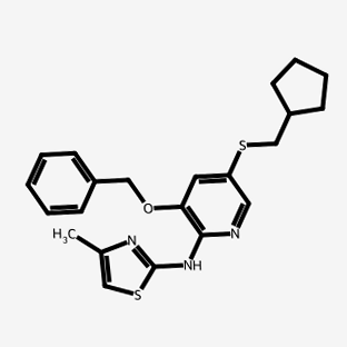 Cc1csc(Nc2ncc(SCC3CCCC3)cc2OCc2ccccc2)n1